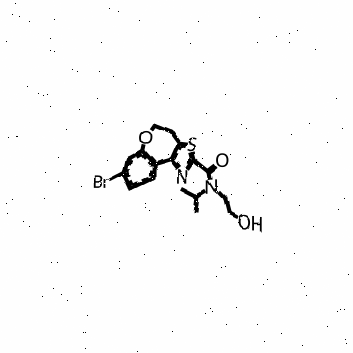 CC(C)N(CCO)C(=O)c1nc2c(s1)CCOc1cc(Br)ccc1-2